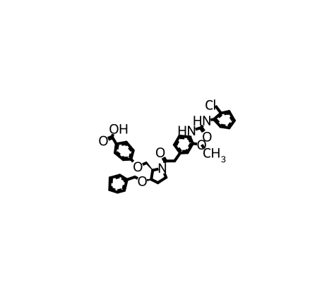 COc1cc(CC(=O)N2CC[C@@H](OCc3ccccc3)[C@H]2COc2ccc(C(=O)O)cc2)ccc1NC(=O)Nc1ccccc1Cl